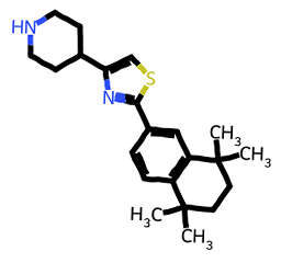 CC1(C)CCC(C)(C)c2cc(-c3nc(C4CCNCC4)cs3)ccc21